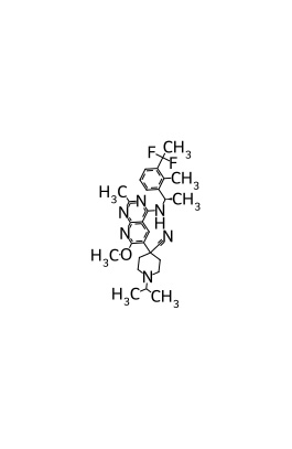 COc1nc2nc(C)nc(N[C@H](C)c3cccc(C(C)(F)F)c3C)c2cc1C1(C#N)CCN(C(C)C)CC1